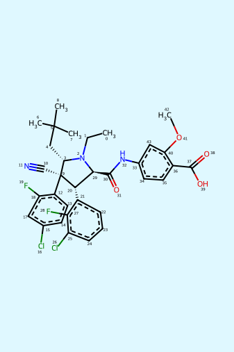 CCN1[C@@H](CC(C)(C)C)[C@](C#N)(c2ccc(Cl)cc2F)[C@@H](c2cccc(Cl)c2F)[C@@H]1C(=O)Nc1ccc(C(=O)O)c(OC)c1